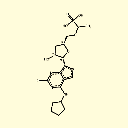 CC(OC[C@@H]1C[C@@H](O)[C@H](n2ncc3c(NC4CCCC4)nc(Cl)nc32)O1)P(=O)(O)O